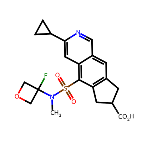 CN(C1(F)COC1)S(=O)(=O)c1c2c(cc3cnc(C4CC4)cc13)CC(C(=O)O)C2